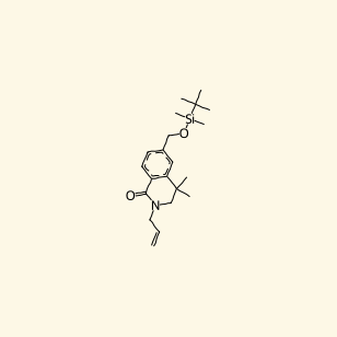 C=CCN1CC(C)(C)c2cc(CO[Si](C)(C)C(C)(C)C)ccc2C1=O